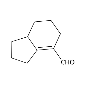 O=CC1=C2CCCC2CCC1